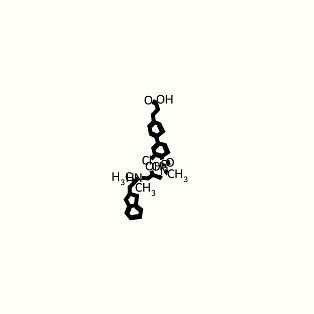 CN(CC(O)CNC(C)(C)CC1Cc2ccccc2C1)S(=O)(=O)c1ccc(-c2ccc(CCC(=O)O)cc2)cc1Cl